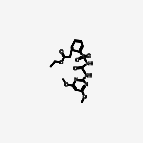 CCOC(=O)Cc1ccccc1S(=O)(=O)NC(=O)Nc1nc(OC)cc(OC)n1